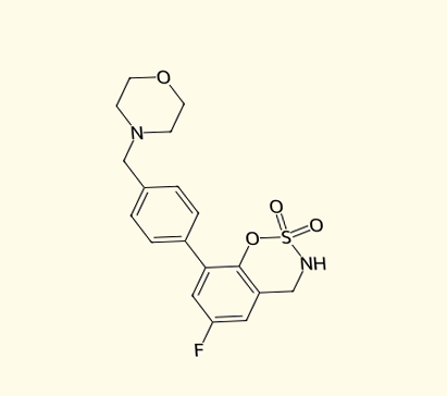 O=S1(=O)NCc2cc(F)cc(-c3ccc(CN4CCOCC4)cc3)c2O1